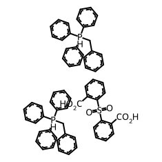 O=C(O)c1ccccc1S(=O)(=O)c1ccccc1C(=O)O.c1ccc(C[PH](c2ccccc2)(c2ccccc2)c2ccccc2)cc1.c1ccc(C[PH](c2ccccc2)(c2ccccc2)c2ccccc2)cc1